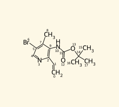 C=Cc1ncc(Br)c(C)c1NC(=O)OC(C)(C)C